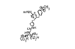 CC(=O)Nc1nc(CCc2ccc(NC(=O)CNC(N(C(=O)O)C(C)(C)C)N(C(=O)O)C(C)(C)C)cc2)c(Cc2ccc(S(C)(=O)=O)cc2)s1